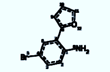 Nc1ccc(Br)cc1-c1ccco1